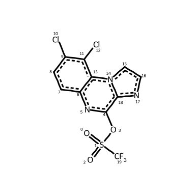 O=S(=O)(Oc1nc2ccc(Cl)c(Cl)c2n2ccnc12)C(F)(F)F